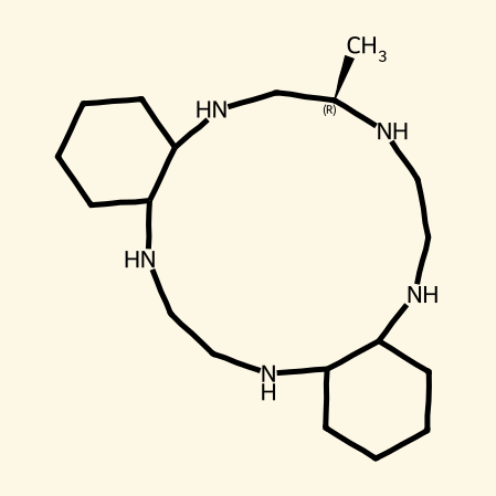 C[C@@H]1CNC2CCCCC2NCCNC2CCCCC2NCCN1